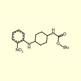 CC(C)(C)OC(=O)NC1CCC(Nc2ccccc2[N+](=O)[O-])CC1